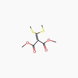 COC(=O)C(C(=O)OC)=C(SC)SC